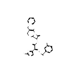 CC(=O)Oc1ccc(C(ON=C(C(=O)N[C@@H]2C(=O)N3C(C(=O)[O-])=C(C[n+]4ccccc4)CS[C@H]23)c2csc(N)n2)C(=O)O)cc1OC(C)=O